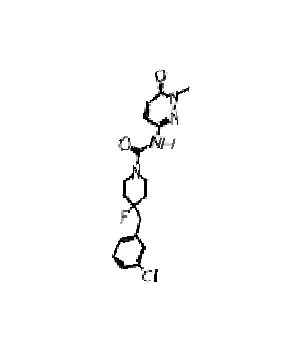 Cn1nc(NC(=O)N2CCC(F)(Cc3cccc(Cl)c3)CC2)ccc1=O